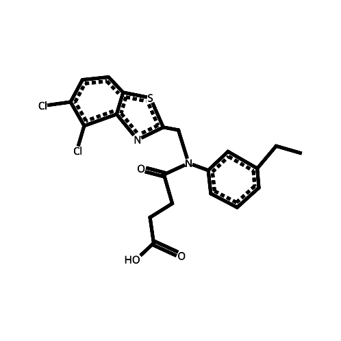 CCc1cccc(N(Cc2nc3c(Cl)c(Cl)ccc3s2)C(=O)CCC(=O)O)c1